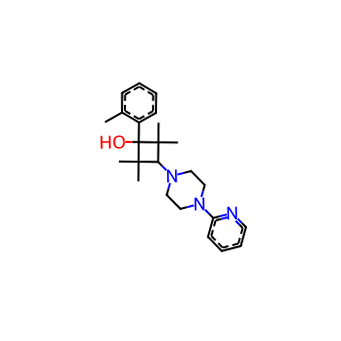 Cc1ccccc1C1(O)C(C)(C)C(N2CCN(c3ccccn3)CC2)C1(C)C